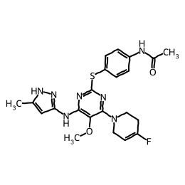 COc1c(Nc2cc(C)[nH]n2)nc(Sc2ccc(NC(C)=O)cc2)nc1N1CC=C(F)CC1